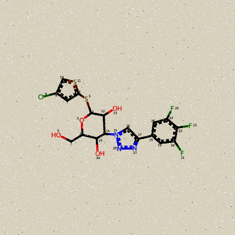 OCC1OC(Sc2cc(Cl)cs2)C(O)C(n2cc(-c3cc(F)c(F)c(F)c3)nn2)C1O